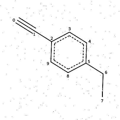 C#Cc1ccc(CI)cc1